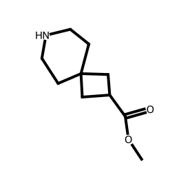 COC(=O)C1CC2(CCNCC2)C1